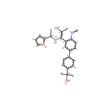 C=Nc1ccc(-c2ccc(C(C)(C)O)cc2)cc1/C(NC(C)c1ccco1)=C(\C)Cl